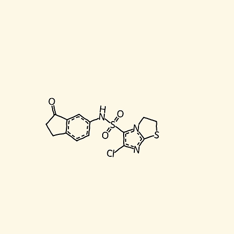 O=C1CCc2ccc(NS(=O)(=O)c3c(Cl)nc4n3CCS4)cc21